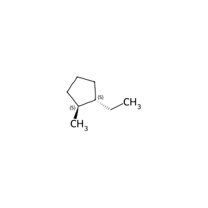 CC[C@H]1CCC[C@@H]1C